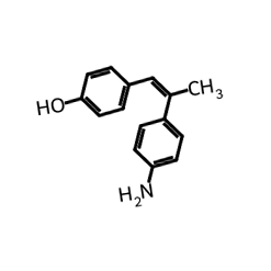 CC(=Cc1ccc(O)cc1)c1ccc(N)cc1